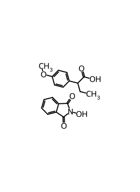 CCC(C(=O)O)c1ccc(OC)cc1.O=C1c2ccccc2C(=O)N1O